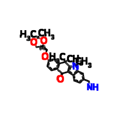 Cn1c2c(c3ccc(C=N)cc31)C(=O)c1ccc(OC[C@H]3COC(C)(C)O3)cc1C2(C)C